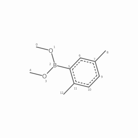 COB(OC)c1cc(C)ccc1C